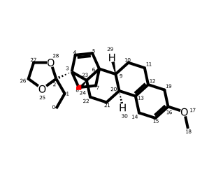 CCC1([C@@]23C=CC4(CC2)[C@@H]2CCC5=C(CC=C(OC)C5)[C@H]2CC[C@@]43C)OCCO1